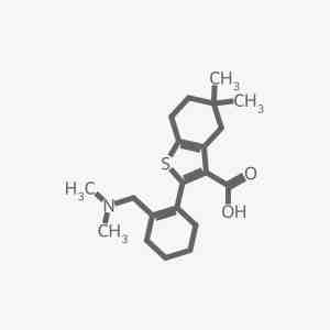 CN(C)CC1=C(c2sc3c(c2C(=O)O)CC(C)(C)CC3)CCCC1